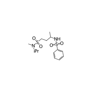 CC(CCS(=O)(=O)N(C)C(C)C)NS(=O)(=O)c1ccccc1